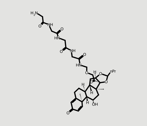 CCCC1O[C@@H]2C[C@H]3[C@@H]4CCC5=CC(=O)C=C[C@]5(C)[C@H]4[C@@H](O)C[C@]3(C)[C@]2(C(=O)COCNC(=O)CNC(=O)CNC(=O)CNC(=O)CN)O1